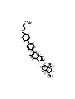 COCCOC1CC=C(c2ccc(-c3nc4cc(O[C@@H]5CO[C@@H]6[C@H](O)CO[C@@]65N)[nH]c4cc3F)cc2)CC1